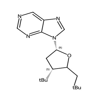 CC(C)(C)CC1O[C@@H](n2cnc3cncnc32)C[C@H]1C(C)(C)C